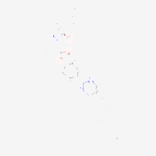 CCCCCCCCc1cnc(-c2ccc(OC(=O)[C@@H]3CCCN3C(=O)C(Cl)CC(C)C)cc2)nc1